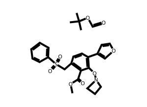 CC(C)(C)OC=O.COC(=O)c1c(CS(=O)(=O)c2ccccc2)ccc(-c2ccoc2)c1ON1CCC1